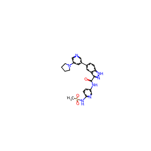 CS(=O)(=O)Nc1ccc(NC(=O)c2n[nH]c3ccc(-c4cncc(N5CCCC5)c4)cc23)cn1